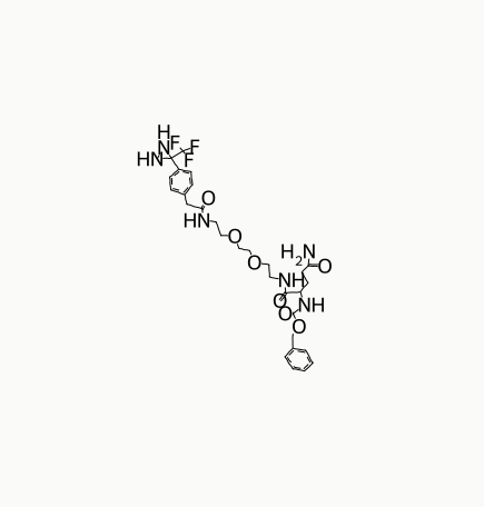 NC(=O)CCC(NC(=O)OCc1ccccc1)C(=O)NCCOCCOCCNC(=O)Cc1ccc(C2(C(F)(F)F)NN2)cc1